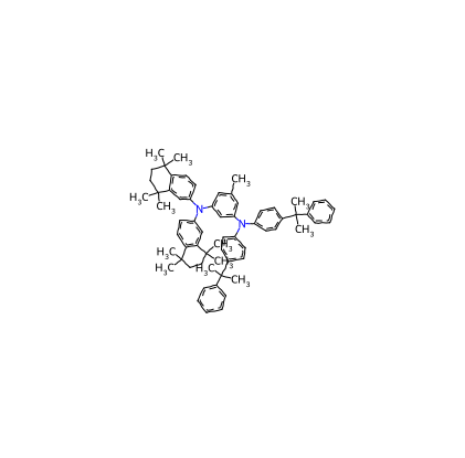 Cc1cc(N(c2ccc(C(C)(C)c3ccccc3)cc2)c2ccc(C(C)(C)c3ccccc3)cc2)cc(N(c2ccc3c(c2)C(C)(C)CCC3(C)C)c2ccc3c(c2)C(C)(C)CCC3(C)C)c1